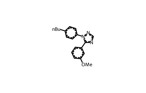 CCCCc1ccc(-n2ncnc2-c2cccc(OC)c2)cc1